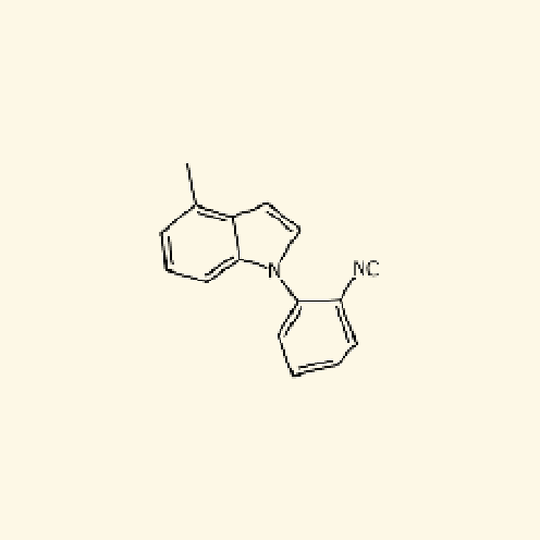 [C-]#[N+]c1ccccc1-n1ccc2c(C)cccc21